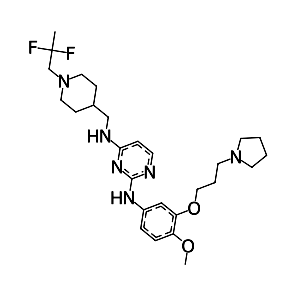 COc1ccc(Nc2nccc(NCC3CCN(CC(C)(F)F)CC3)n2)cc1OCCCN1CCCC1